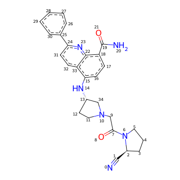 N#C[C@@H]1CCCN1C(=O)CN1CC[C@H](Nc2ccc(C(N)=O)c3nc(-c4ccccc4)ccc23)C1